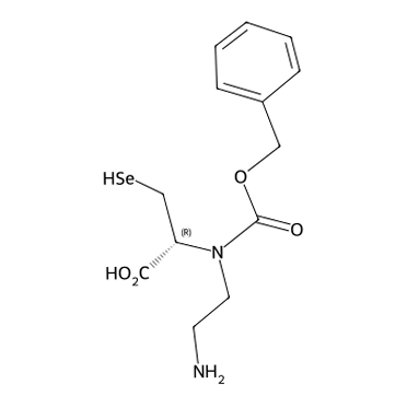 NCCN(C(=O)OCc1ccccc1)[C@@H](C[SeH])C(=O)O